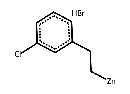 Br.Clc1cccc(C[CH2][Zn])c1